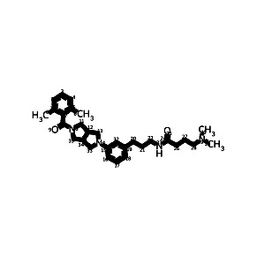 Cc1cccc(C)c1C(=O)N1CC2CN(c3cccc(CCCNC(=O)CCCN(C)C)c3)CC2C1